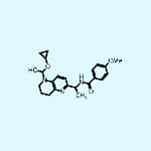 COc1ccc(C(=O)NC(C)c2ccc3c(n2)CCCN3C(O)OC2CC2)cc1